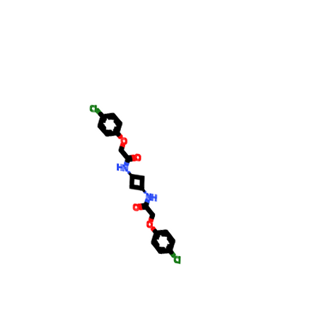 O=C(COc1ccc(Cl)cc1)N[C@H]1C[C@@H](NC(=O)COc2ccc(Cl)cc2)C1